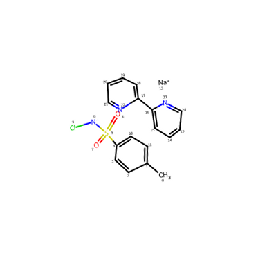 Cc1ccc(S(=O)(=O)[N-]Cl)cc1.[Na+].c1ccc(-c2ccccn2)nc1